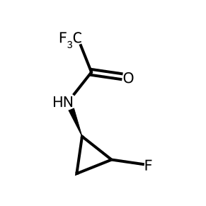 O=C(N[C@@H]1CC1F)C(F)(F)F